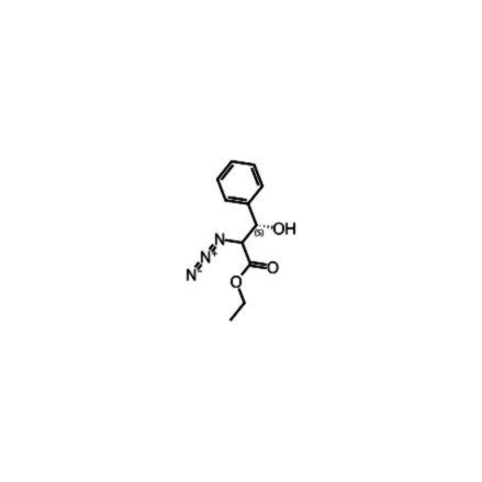 CCOC(=O)C(N=[N+]=[N-])[C@@H](O)c1ccccc1